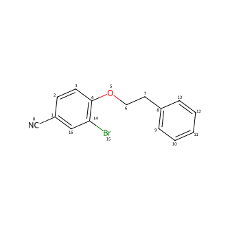 N#Cc1ccc(OCCc2ccccc2)c(Br)c1